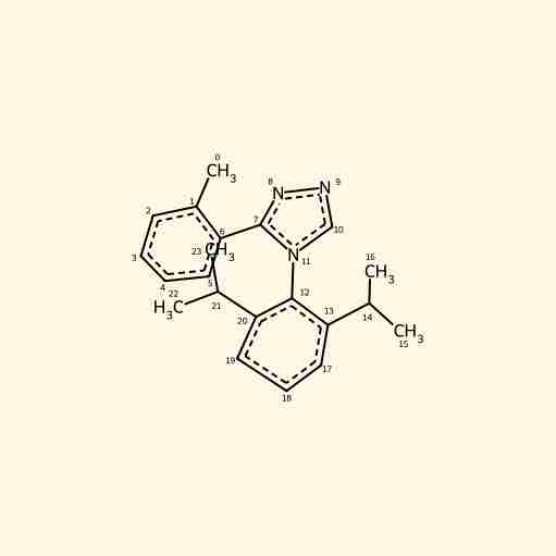 Cc1ccccc1-c1nncn1-c1c(C(C)C)cccc1C(C)C